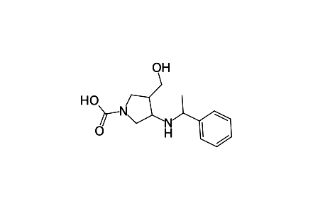 CC(NC1CN(C(=O)O)CC1CO)c1ccccc1